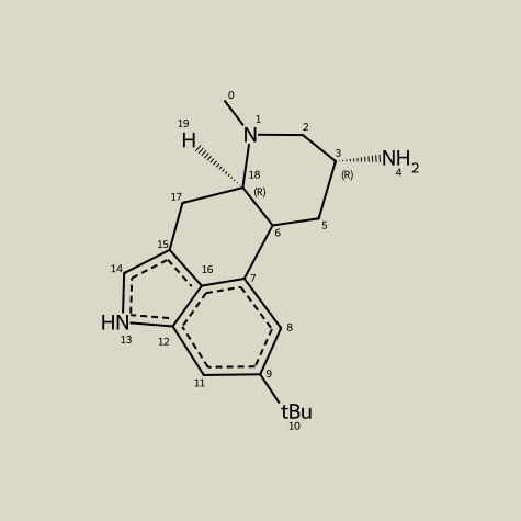 CN1C[C@H](N)CC2c3cc(C(C)(C)C)cc4[nH]cc(c34)C[C@H]21